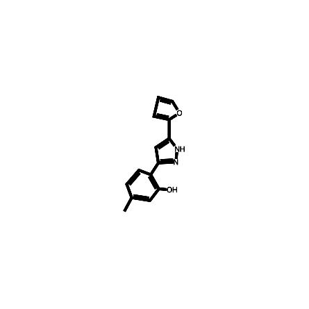 Cc1ccc(-c2cc(-c3ccco3)[nH]n2)c(O)c1